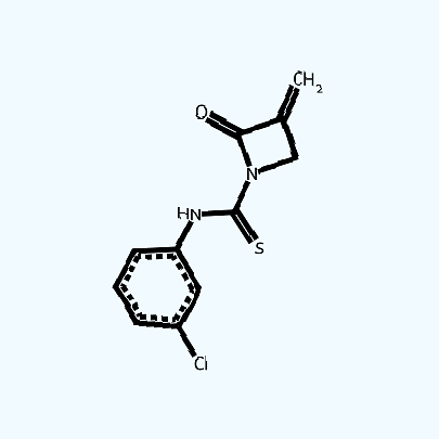 C=C1CN(C(=S)Nc2cccc(Cl)c2)C1=O